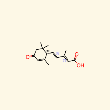 CC1=CC(=O)CC(C)(C)[C@H]1/C=C/C(C)=C/C(=O)O